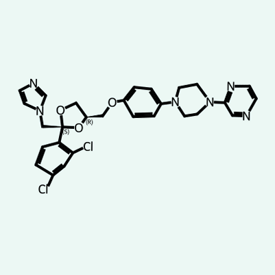 Clc1ccc([C@]2(Cn3ccnc3)OC[C@@H](COc3ccc(N4CCN(c5cnccn5)CC4)cc3)O2)c(Cl)c1